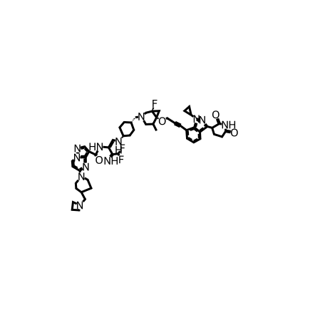 CC1CN(C[C@H]2CC[C@H](N/C=C(/NC(=O)c3cnn4ccc(N5CCC(CN6CCC6)CC5)nc34)C(=N)C(F)F)CC2)C[C@]2(F)C[C@]12OCC#Cc1cccc2c(C3CCC(=O)NC3=O)nn(C3CC3)c12